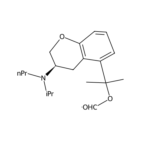 CCCN(C(C)C)[C@H]1COc2cccc(C(C)(C)O[C]=O)c2C1